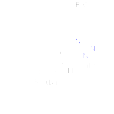 CC(C)n1nc(-c2cccc(C(F)(F)F)c2)nc1C1[C@H]2CC(O[Si](c3ccccc3)(c3ccccc3)C(C)(C)C)C[C@@H]12